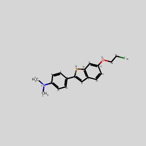 CN(C)c1ccc(-c2cc3ccc(OCCF)cc3s2)cc1